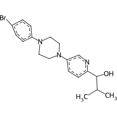 CC(C)C(O)c1ccc(N2CCN(c3ccc(Br)cc3)CC2)cn1